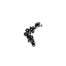 COc1nc(-c2cccc(-c3cccc(-c4ccn5c(=O)c(CNCC6(C)COC6)cnc5c4)c3Cl)c2Cl)ccc1CNC[C@@H]1CCC(=O)N1